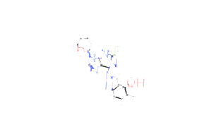 Cc1cccc(CNc2nc(F)nc3c2ncn3C2CCCCO2)c1O